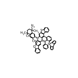 Cc1cc2c(cc1N1c3cc4oc5ccccc5c4cc3B3c4c1cc1sc5ccccc5c1c4-c1cccc4c1N3c1ccccc1[Si]41c3ccccc3-c3ccccc31)C(C)(C)CCC2(C)C